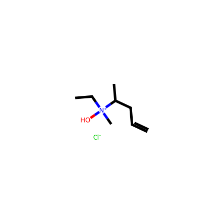 C=CCC(C)[N+](C)(O)CC.[Cl-]